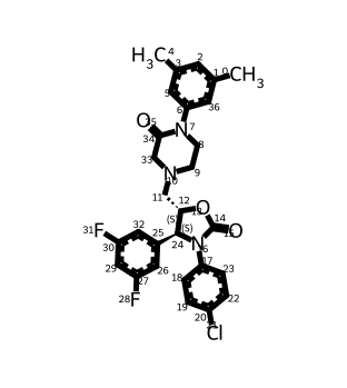 Cc1cc(C)cc(N2CCN(C[C@@H]3OC(=O)N(c4ccc(Cl)cc4)[C@H]3c3cc(F)cc(F)c3)CC2=O)c1